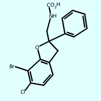 O=C(O)NCC1(c2ccccc2)Cc2ccc(Cl)c(Br)c2O1